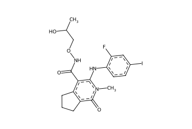 CC(O)CONC(=O)c1c2c(c(=O)n(C)c1Nc1ccc(I)cc1F)CCC2